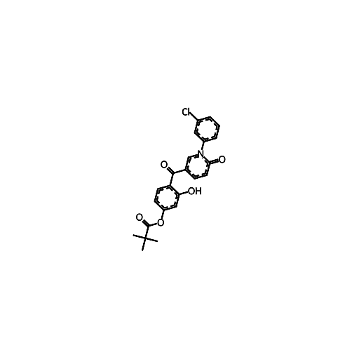 CC(C)(C)C(=O)Oc1ccc(C(=O)c2ccc(=O)n(-c3cccc(Cl)c3)c2)c(O)c1